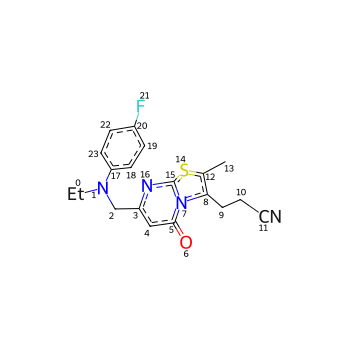 CCN(Cc1cc(=O)n2c(CCC#N)c(C)sc2n1)c1ccc(F)cc1